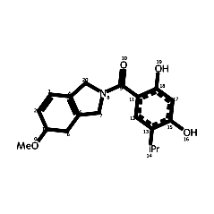 COC1C=CC2=C(C1)CN(C(=O)c1cc(C(C)C)c(O)cc1O)C2